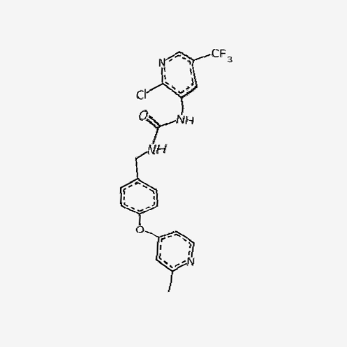 Cc1cc(Oc2ccc(CNC(=O)Nc3cc(C(F)(F)F)cnc3Cl)cc2)ccn1